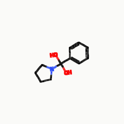 OC(O)(c1ccccc1)N1CCCC1